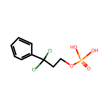 O=P(O)(O)OCCC(Cl)(Cl)c1ccccc1